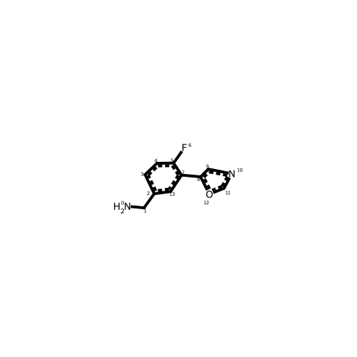 NCc1ccc(F)c(-c2cnco2)c1